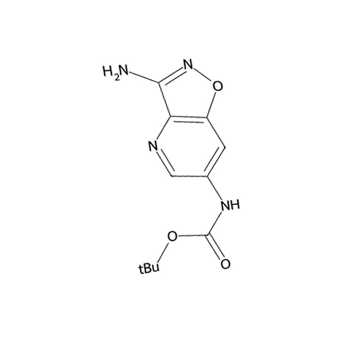 CC(C)(C)OC(=O)Nc1cnc2c(N)noc2c1